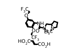 CCN(CC1CCCN1C)C(=O)Nc1cc(OCC(F)(F)F)ccc1OCC(F)(F)F.O=C(O)C=CC(=O)O